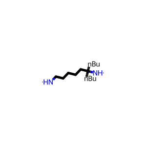 CCCCC([NH])(CCCC)CCCCC[NH]